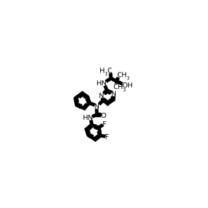 CC(Nc1nccc(N(C(=O)Nc2cccc(F)c2F)c2ccccc2)n1)C(C)(C)O